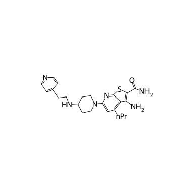 CCCc1cc(N2CCC(NCCc3ccncc3)CC2)nc2sc(C(N)=O)c(N)c12